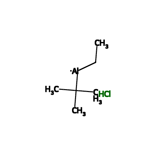 C[CH2][Al][C](C)(C)C.Cl